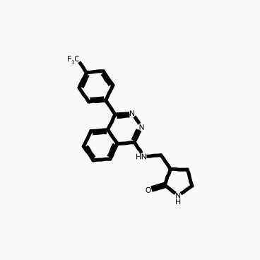 O=C1NCCC1CNc1nnc(-c2ccc(C(F)(F)F)cc2)c2ccccc12